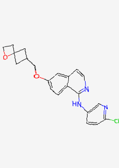 Clc1ccc(Nc2nccc3cc(OCC4CC5(CCO5)C4)ccc23)cn1